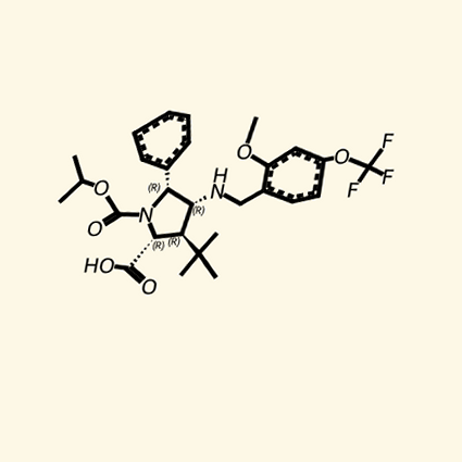 COc1cc(OC(F)(F)F)ccc1CN[C@@H]1[C@@H](C(C)(C)C)[C@H](C(=O)O)N(C(=O)OC(C)C)[C@@H]1c1ccccc1